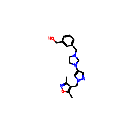 Cc1noc(C)c1Cn1cc(N2CCN(Cc3cccc(CO)c3)C2)cn1